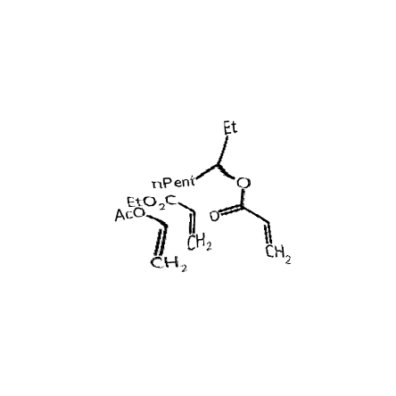 C=CC(=O)OC(CC)CCCCC.C=CC(=O)OCC.C=COC(C)=O